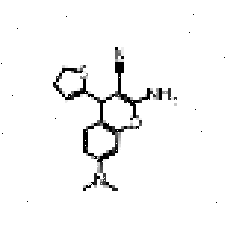 CN(C)c1ccc2c(c1)OC(N)=C(C#N)C2C1=CCCS1